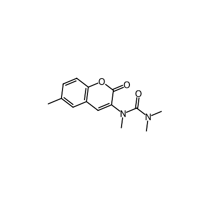 Cc1ccc2oc(=O)c(N(C)C(=O)N(C)C)cc2c1